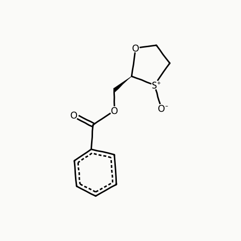 O=C(OC[C@H]1OCC[S+]1[O-])c1ccccc1